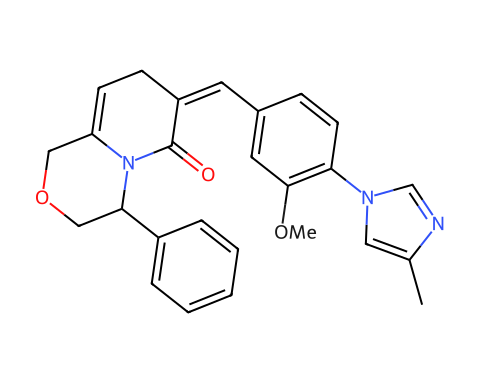 COc1cc(C=C2CC=C3COCC(c4ccccc4)N3C2=O)ccc1-n1cnc(C)c1